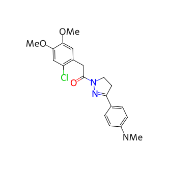 CNc1ccc(C2=NN(C(=O)Cc3cc(OC)c(OC)cc3Cl)CC2)cc1